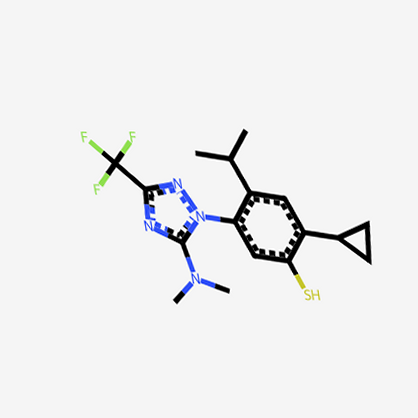 CC(C)c1cc(C2CC2)c(S)cc1-n1nc(C(F)(F)F)nc1N(C)C